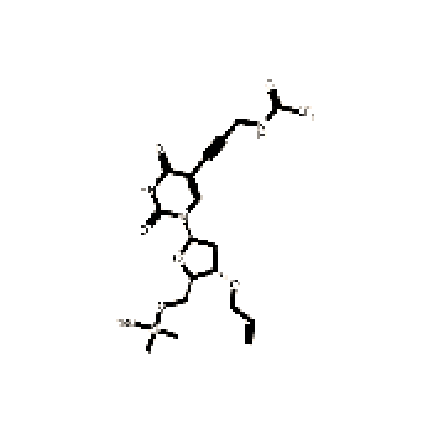 C=CCO[C@H]1C[C@H](n2cc(C#CCNC(=O)C(F)(F)F)c(=O)[nH]c2=O)O[C@@H]1CO[Si](C)(C)C(C)(C)C